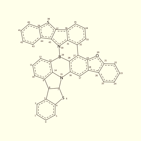 c1ccc2c(c1)SC1C2c2cccc3c2N1c1cc2c(oc4ccccc42)c2c1B3n1c3c-2cccc3c2sc3ccccc3c21